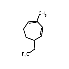 CC1=CCCC(CC(F)(F)F)C=C1